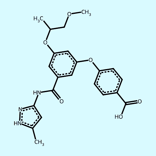 COCC(C)Oc1cc(Oc2ccc(C(=O)O)cc2)cc(C(=O)Nc2cc(C)[nH]n2)c1